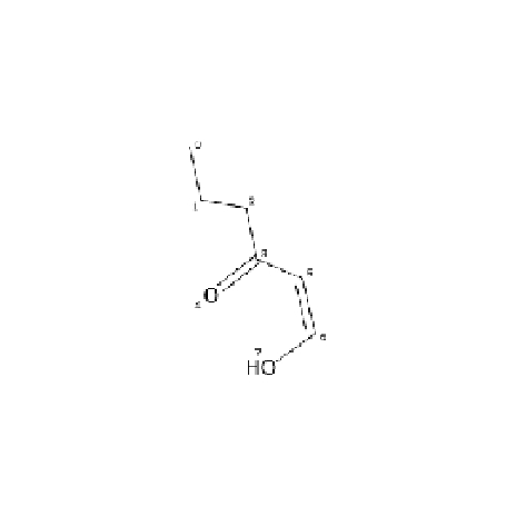 CCCC(=O)/C=C\O